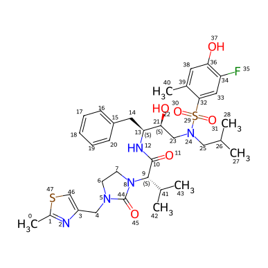 Cc1nc(CN2CCN([C@H](C(=O)N[C@@H](Cc3ccccc3)[C@@H](O)CN(CC(C)C)S(=O)(=O)c3cc(F)c(O)cc3C)C(C)C)C2=O)cs1